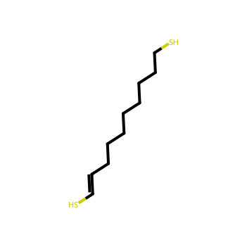 SC=CCCCCCCCCS